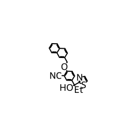 CCC(O)(c1ccc(OCc2ccc3ccccc3c2)c(C#N)c1)c1nccs1